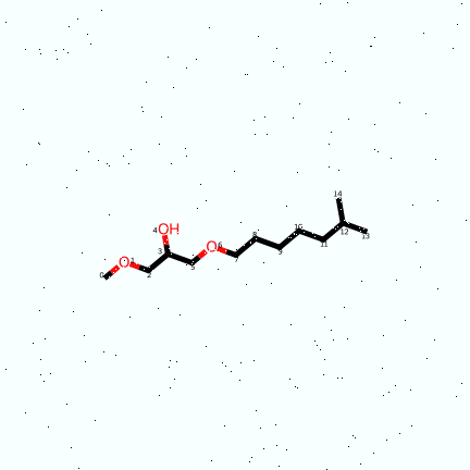 COCC(O)COCCCCCC(C)C